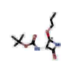 CCCO[C@H]1NC(=O)[C@@H]1NC(=O)OC(C)(C)C